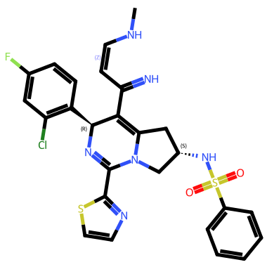 CN/C=C\C(=N)C1=C2C[C@H](NS(=O)(=O)c3ccccc3)CN2C(c2nccs2)=N[C@H]1c1ccc(F)cc1Cl